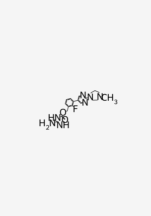 CN1CCCN(c2ncc(-c3cccc(COC(=O)NC(=N)N)c3F)cn2)CC1